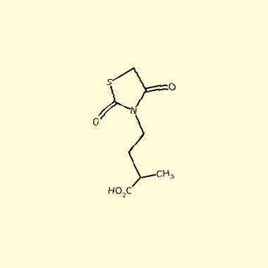 CC(CCN1C(=O)CSC1=O)C(=O)O